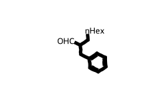 CCCCCCCC(C=O)Cc1ccccc1